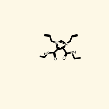 C=CCn1c[n+](CC=C)c(C(=O)NCC)c1C(=O)NCC